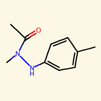 CC(=O)N(C)Nc1ccc(C)cc1